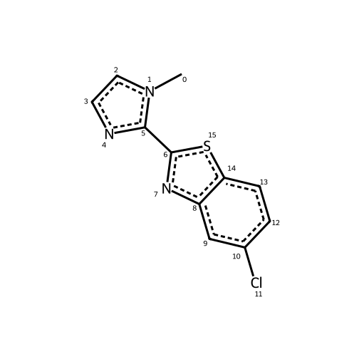 Cn1ccnc1-c1nc2cc(Cl)ccc2s1